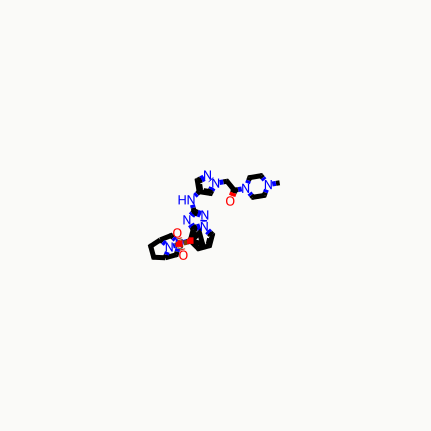 CN1CCN(C(=O)Cn2cc(Nc3nc4c(N5CC6CCC(C5)N6S(=O)(=O)C5CC5)cccn4n3)cn2)CC1